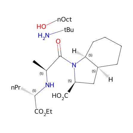 CC(C)(C)N.CCCCCCCCO.CCC[C@H](N[C@@H](C)C(=O)N1[C@H](C(=O)O)C[C@@H]2CCCC[C@@H]21)C(=O)OCC